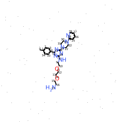 Cc1ccc(-c2nc(NCCOCCOCCN)nc(N3CCN(c4ccccn4)CC3)n2)cc1